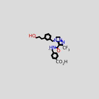 C[C@H](NC(=O)c1c(C(F)(F)F)nn2c1N(Cc1cccc(CCCO)c1)CC2)c1ccc(C(=O)O)cc1